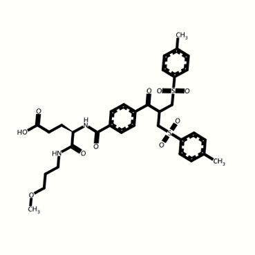 COCCCNC(=O)[C@@H](CCC(=O)O)NC(=O)c1ccc(C(=O)C(CS(=O)(=O)c2ccc(C)cc2)CS(=O)(=O)c2ccc(C)cc2)cc1